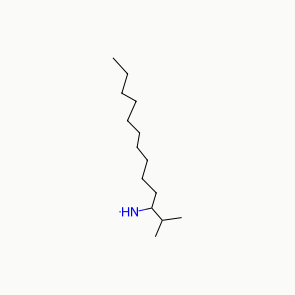 CCCCCCCCCCC([NH])C(C)C